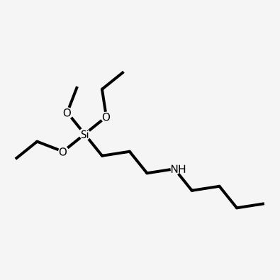 CCCCNCCC[Si](OC)(OCC)OCC